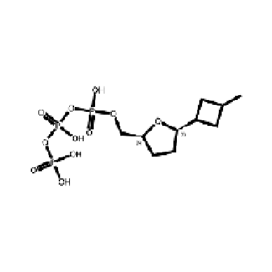 CC1CC([C@H]2CC[C@@H](COP(=O)(O)OP(=O)(O)OP(=O)(O)O)O2)C1